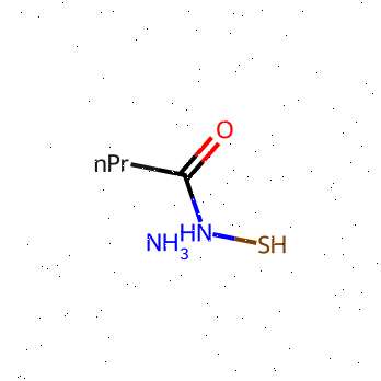 CCCC(=O)NS.N